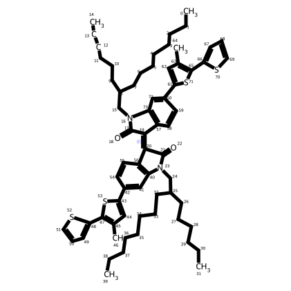 CCCCCCCCC(CCCCCC)CN1C(=O)/C(=C2/C(=O)N(CC(CCCCCC)CCCCCCCC)c3cc(-c4cc(C)c(-c5cccs5)s4)ccc32)c2ccc(-c3cc(C)c(-c4cccs4)s3)cc21